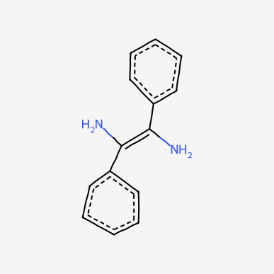 NC(=C(N)c1ccccc1)c1ccccc1